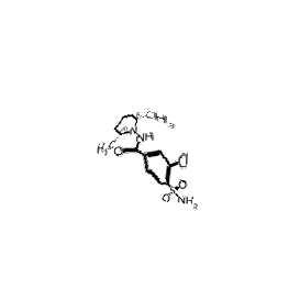 C[C@@H]1CCC[C@H](C)N1NC(=O)c1ccc(S(N)(=O)=O)c(Cl)c1